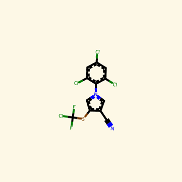 N#Cc1cn(-c2c(Cl)cc(Cl)cc2Cl)cc1SC(F)(F)Cl